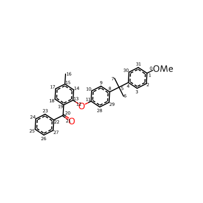 COc1ccc(C(C)(C)c2ccc(Oc3cc(C)ccc3C(=O)c3ccccc3)cc2)cc1